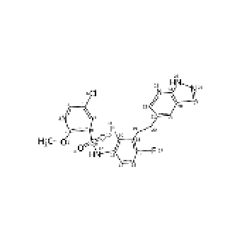 COc1ncc(Cl)cc1S(=O)(=O)Nc1ccc(F)c(CCc2cnc3[nH]ncc3c2)c1F